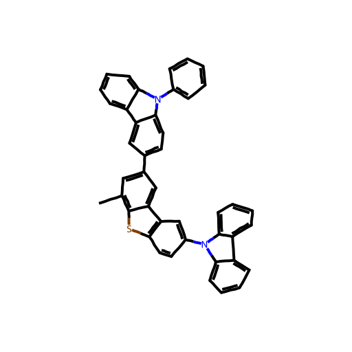 Cc1cc(-c2ccc3c(c2)c2ccccc2n3-c2ccccc2)cc2c1sc1ccc(-n3c4ccccc4c4ccccc43)cc12